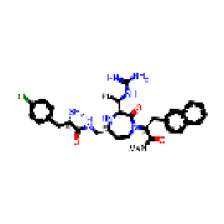 CCC(NC(=N)N)[C@@H]1N[C@@H](CNC(=O)[C@@H](N)Cc2ccc(Cl)cc2)CCN([C@@H](Cc2ccc3ccccc3c2)C(=O)NC)C1=O